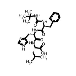 CC(C)C[C@H](NC(=O)[C@H](Cc1c[nH]cn1)NC(=O)[C@H](Cc1ccccc1)NC(=O)NC(C)(C)C)C(=O)O